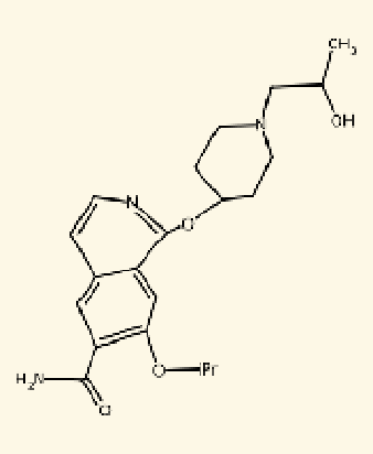 CC(O)CN1CCC(Oc2nccc3cc(C(N)=O)c(OC(C)C)cc23)CC1